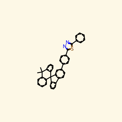 CC1(C)c2ccccc2C2(c3ccccc3-c3ccc(-c4ccc(-c5nnc(-c6ccccc6)s5)cc4)cc32)c2ccccc21